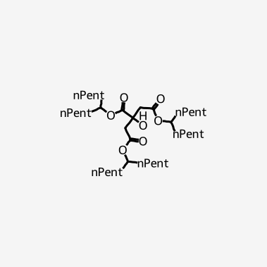 CCCCCC(CCCCC)OC(=O)CC(O)(CC(=O)OC(CCCCC)CCCCC)C(=O)OC(CCCCC)CCCCC